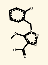 COc1c(C(=O)Cl)nnn1Cc1ccccc1Cl